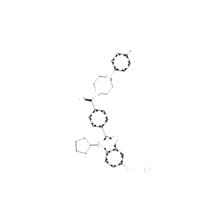 O=C(O)c1ccc2c(c1)nc(-c1ccc(C(=O)N3CCN(c4ccc(F)cc4)CC3)cc1)n2C1CCCC1